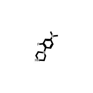 CN(C)c1ccc(N2CCNCC2)c(F)c1